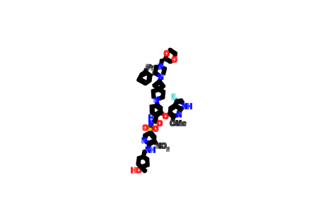 COc1nc2[nH]cc(F)c2cc1Oc1cc(N2CCC3(CC2)CC(N2CCN(C[C@@H]4COCCO4)C[C@H]2c2ccccc2C(C)C)C3)ccc1C(=O)NS(=O)(=O)c1cnc(NCC2CCC(C)(O)CC2)c([N+](=O)[O-])c1